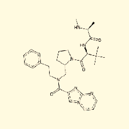 CN[C@@H](C)C(=O)N[C@H](C(=O)N1CCC[C@H]1CN(CCc1ccccc1)C(=O)c1cn2cccnc2n1)C(C)(C)C